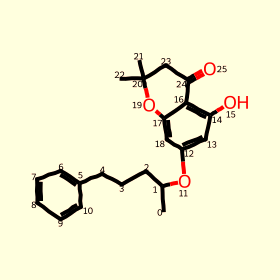 CC(CCCc1ccccc1)Oc1cc(O)c2c(c1)OC(C)(C)CC2=O